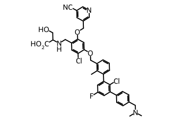 Cc1c(COc2cc(OCc3cncc(C#N)c3)c(CNC(CO)C(=O)O)cc2Cl)cccc1-c1cc(F)cc(-c2ccc(CN(C)C)cc2)c1Cl